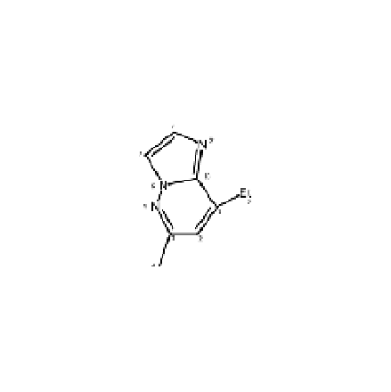 CCc1cc(C)nn2ccnc12